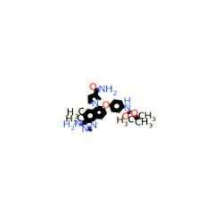 CC(C)(C)OC(=O)N[C@H]1CC[C@H](Oc2ccc3c(c2N2CCC(C(N)=O)C2)CC(C)(C)c2c(N)ncnc2-3)CC1